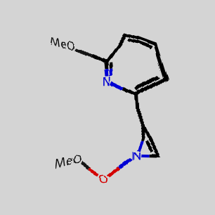 COON1C=C1c1cccc(OC)n1